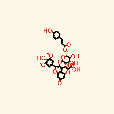 COc1cc(-c2oc3cc(=O)cc4oc(C(=O)O)cc(c2OC2O[C@H](COC(=O)/C=C/c5ccc(O)cc5)[C@@H](O)[C@H](O)[C@H]2O)c43)cc(OC)c1O